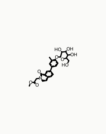 COC(=O)Cn1ccc2ccc(-c3ccc(OC4OC(CO)C(O)C(O)C4O)c(C)c3)cc2c1=O